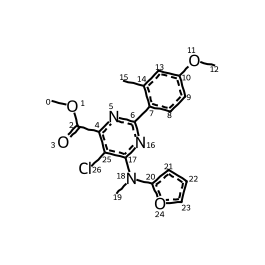 COC(=O)c1nc(-c2ccc(OC)cc2C)nc(N(C)c2ccco2)c1Cl